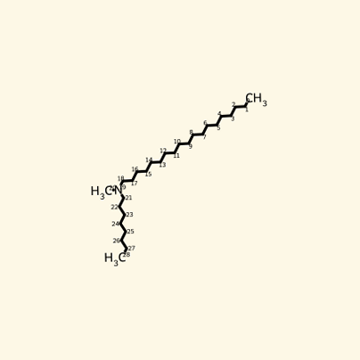 CCCCCCCCCCCCCCCCCCCN(C)CCCCCCCC